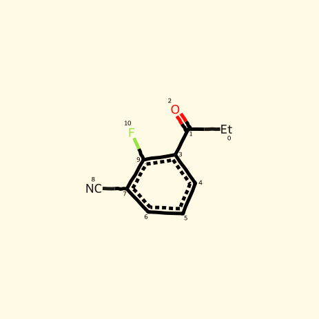 CCC(=O)c1cccc(C#N)c1F